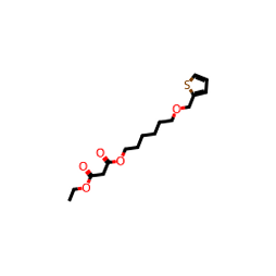 CCOC(=O)CC(=O)OCCCCCCOCc1cccs1